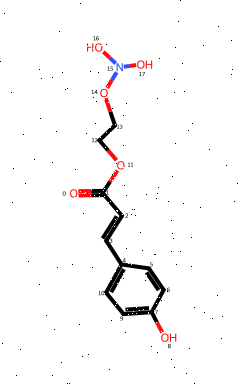 O=C(/C=C/c1ccc(O)cc1)OCCON(O)O